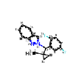 C#CC1(C(c2cc(F)ccc2F)n2cc3ccccc3n2)CC1